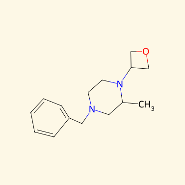 CC1CN(Cc2ccccc2)CCN1C1COC1